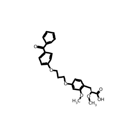 COc1cc(OCCCOc2ccc(C(=O)c3ccccc3)cc2)ccc1C[C@H](OC)C(=O)O